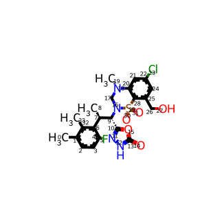 Cc1ccc(F)c([C@@H](C)[C@@H](c2n[nH]c(=O)o2)N2CN(C)c3cc(Cl)cc(CO)c3S2(=O)=O)c1C